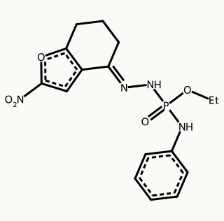 CCOP(=O)(N/N=C1\CCCc2oc([N+](=O)[O-])cc21)Nc1ccccc1